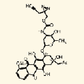 C#CCC1(COC(=O)NC2CC(O[C@H]3C[C@](O)(CC(C)=O)Cc4c(O)c5c(c(O)c43)C(=O)c3c(OC)cccc3C5=O)OC(C)C2O)N=N1